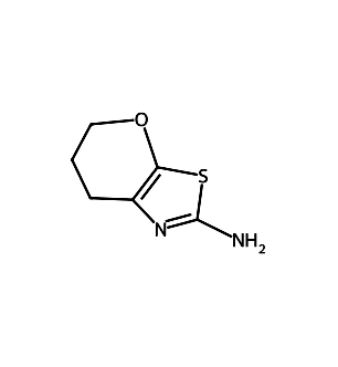 Nc1nc2c(s1)OCCC2